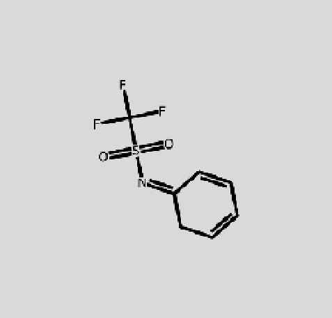 O=S(=O)(N=C1C=CC=CC1)C(F)(F)F